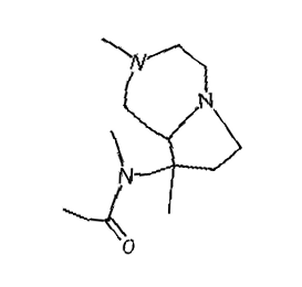 CC(=O)N(C)C1(C)CCN2CCN(C)CC21